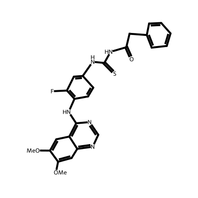 COc1cc2ncnc(Nc3ccc(NC(=S)NC(=O)Cc4ccccc4)cc3F)c2cc1OC